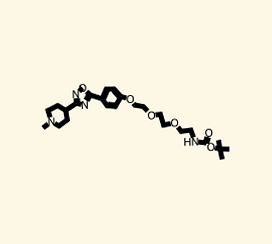 CN1CCC(c2noc(-c3ccc(OCCOCCOCCNC(=O)OC(C)(C)C)cc3)n2)CC1